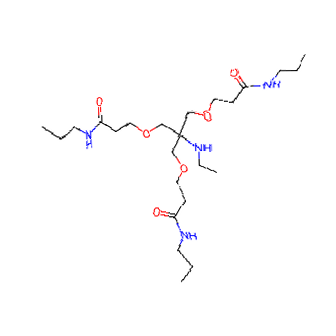 CCCNC(=O)CCOCC(COCCC(=O)NCCC)(COCCC(=O)NCCC)NCC